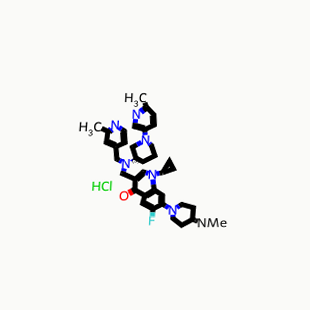 CNC1CCN(c2cc3c(cc2F)c(=O)c(CN(Cc2ccnc(C)c2)[C@H]2CCCN(c4ccc(C)nc4)C2)cn3C2CC2)CC1.Cl